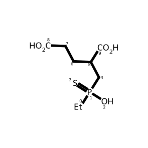 CCP(O)(=S)CC(CCC(=O)O)C(=O)O